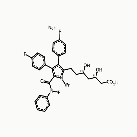 CC(C)n1c(CC[C@@H](O)C[C@@H](O)CC(=O)O)c(-c2ccc(F)cc2)c(-c2ccc(F)cc2)c1C(=O)N(F)c1ccccc1.[NaH]